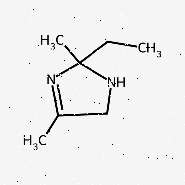 CCC1(C)N=C(C)CN1